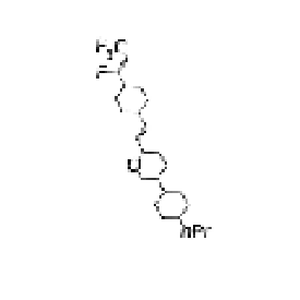 CCCC1CCC(C2CCC(/C=C/C3CCC(/C(F)=C/C(F)(F)F)CC3)OC2)CC1